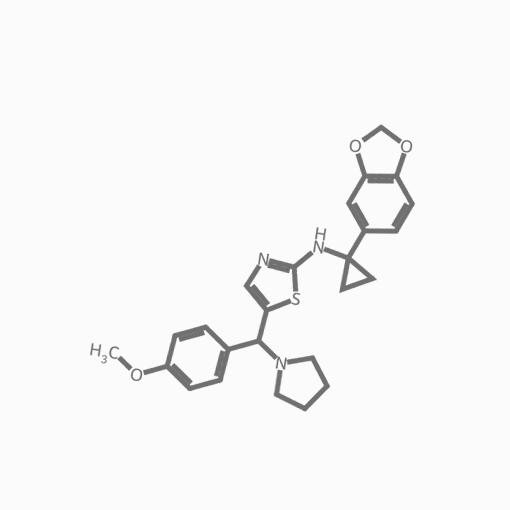 COc1ccc(C(c2cnc(NC3(c4ccc5c(c4)OCO5)CC3)s2)N2CCCC2)cc1